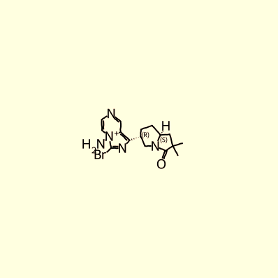 CC1(C)C[C@@H]2CC[C@@H](C3=C4C=NC=C[N+]4(N)C(Br)=N3)CN2C1=O